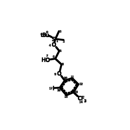 CC(C)(C)[Si](C)(C)OCC(O)COc1ccc(C(F)(F)F)cc1I